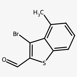 Cc1cccc2sc(C=O)c(Br)c12